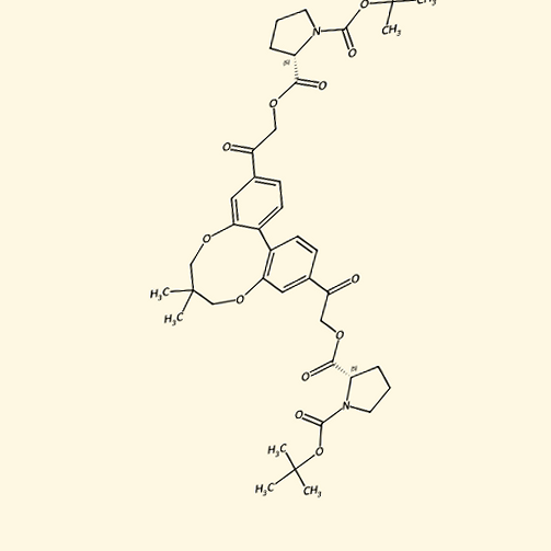 CC1(C)COc2cc(C(=O)COC(=O)[C@@H]3CCCN3C(=O)OC(C)(C)C)ccc2-c2ccc(C(=O)COC(=O)[C@@H]3CCCN3C(=O)OC(C)(C)C)cc2OC1